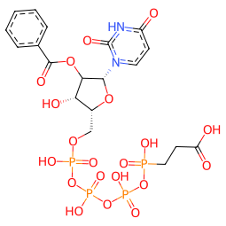 O=C(O)CCP(=O)(O)OP(=O)(O)OP(=O)(O)OP(=O)(O)OC[C@H]1O[C@@H](n2ccc(=O)[nH]c2=O)C(OC(=O)c2ccccc2)[C@H]1O